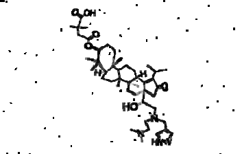 CC(C)C1=C2[C@H]3CCC4[C@@]5(C)CC[C@H](OC(=O)CC(C)(C)C(=O)O)C(C)(C)[C@@H]5CC[C@@]4(C)[C@]3(C)CC[C@@]2([C@@H](O)CN(CCN(C)C)Cc2cn[nH]c2)CC1=O